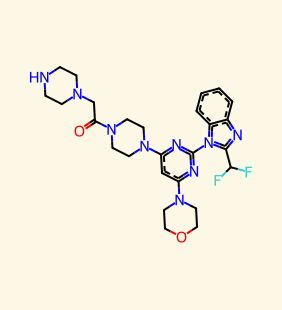 O=C(CN1CCNCC1)N1CCN(c2cc(N3CCOCC3)nc(-n3c(C(F)F)nc4ccccc43)n2)CC1